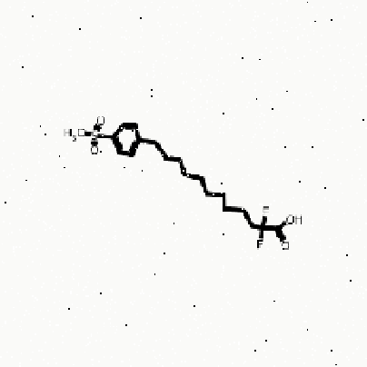 CS(=O)(=O)c1ccc(CCCCCCCCCCC(F)(F)C(=O)O)cc1